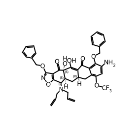 C=CCN(CC=C)[C@@H]1c2onc(OCc3ccccc3)c2C(=O)[C@@]2(O)C(O)=C3C(=O)c4c(c(OC(F)(F)F)cc(N)c4OCc4ccccc4)C[C@H]3C[C@@H]12